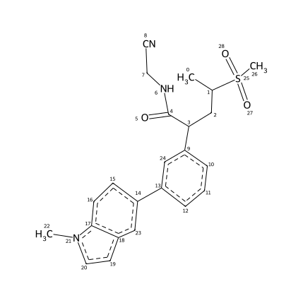 CC(CC(C(=O)NCC#N)c1cccc(-c2ccc3c(ccn3C)c2)c1)S(C)(=O)=O